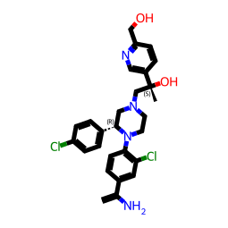 C=C(N)c1ccc(N2CCN(C[C@@](C)(O)c3ccc(CO)nc3)C[C@H]2c2ccc(Cl)cc2)c(Cl)c1